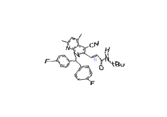 Cc1cc(C)c2c(C#N)c(/C=C/C(=O)NC(C)(C)C)n(C(c3ccc(F)cc3)c3ccc(F)cc3)c2n1